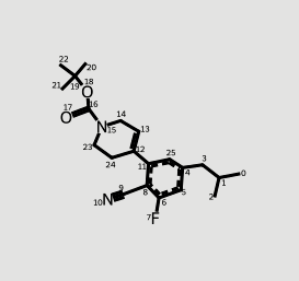 CC(C)Cc1cc(F)c(C#N)c(C2=CCN(C(=O)OC(C)(C)C)CC2)c1